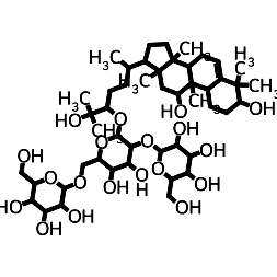 CC(CCC(OC1OC(COC2OC(CO)C(O)C(O)C2O)C(O)C(O)C1OC1OC(CO)C(O)C(O)C1O)C(C)(C)O)C1CCC2(C)C3CC=C4C(CCC(O)C4(C)C)C3(C)C(O)CC12C